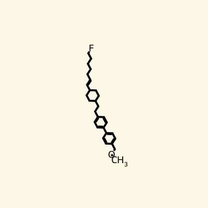 COCc1ccc(-c2ccc(CCC3CCC(C=CCCCCCF)CC3)cc2)cc1